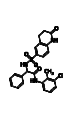 Cc1c(Cl)cccc1NC(=O)C(NS(=O)(=O)c1ccc2c(c1)CCC(=O)N2)c1ccccc1